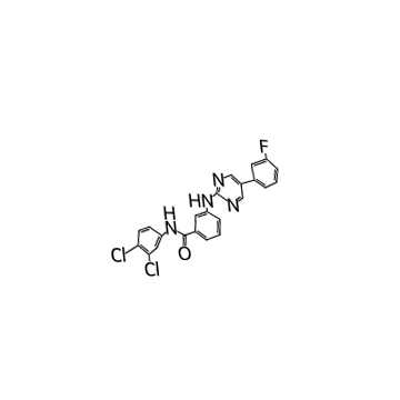 O=C(Nc1ccc(Cl)c(Cl)c1)c1cccc(Nc2ncc(-c3cccc(F)c3)cn2)c1